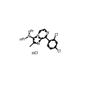 CCCN(CCC)c1c(C)nc2c(-c3ccc(Cl)cc3Cl)nccn12.Cl